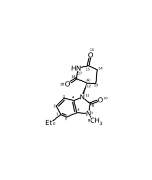 CCc1ccc2c(c1)n(C)c(=O)n2[C@@H]1CCC(=O)NC1=O